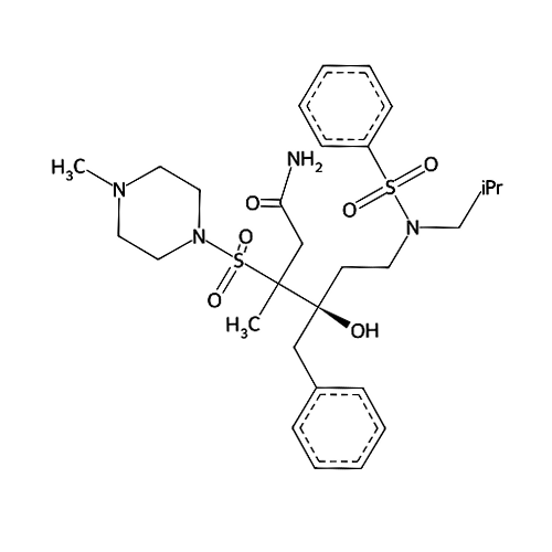 CC(C)CN(CC[C@](O)(Cc1ccccc1)C(C)(CC(N)=O)S(=O)(=O)N1CCN(C)CC1)S(=O)(=O)c1ccccc1